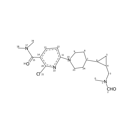 CN(C=O)CC1CC1C1CCN(c2ccc(C(=O)N(C)C)c(Cl)n2)CC1